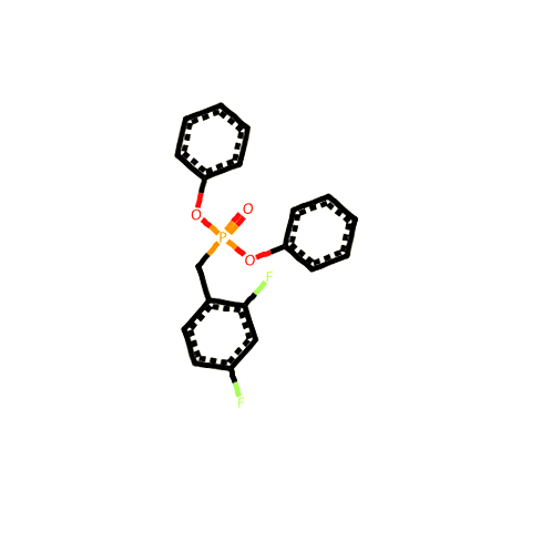 O=P(Cc1ccc(F)cc1F)(Oc1ccccc1)Oc1ccccc1